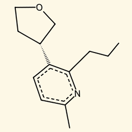 CCCc1nc(C)ccc1[C@@H]1CCOC1